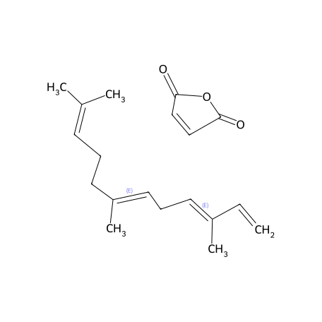 C=C/C(C)=C/C/C=C(\C)CCC=C(C)C.O=C1C=CC(=O)O1